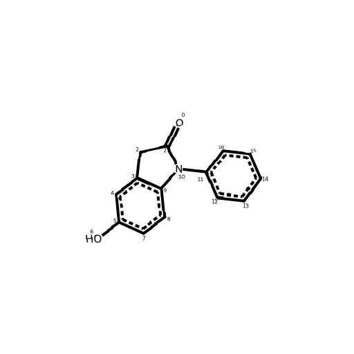 O=C1Cc2cc(O)ccc2N1c1ccccc1